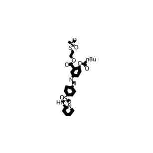 CCCCC(=O)Oc1ccc(/N=N/c2ccc(S(=O)(=O)Nc3ccccn3)cc2)cc1C(=O)OCCSS(C)(=O)=O